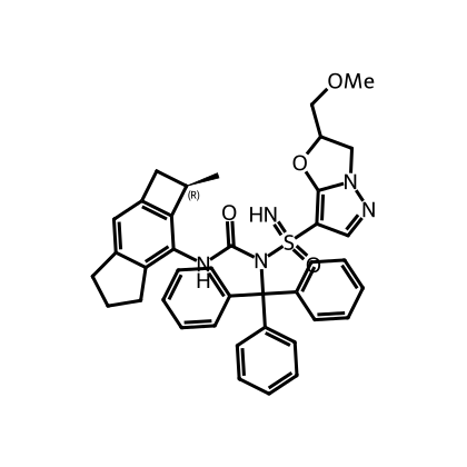 COCC1Cn2ncc(S(=N)(=O)N(C(=O)Nc3c4c(cc5c3[C@H](C)C5)CCC4)C(c3ccccc3)(c3ccccc3)c3ccccc3)c2O1